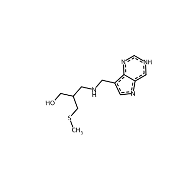 CSCC(CO)CNCc1cnc2c[nH]cnc1-2